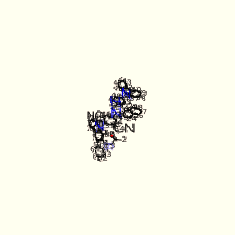 C=C(C)/C=C1\c2c(cc3c4ccccc4n(C4=C(C#N)C=C(Nc5ccc6ccccc6c5-c5cc(-n6c7ccccc7c7ccccc76)ccc5C)CC(C#N)=C4)c3c2C)C2=CC=CCC21